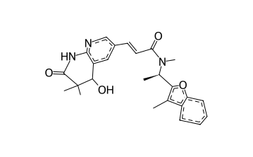 Cc1c([C@@H](C)N(C)C(=O)C=Cc2cnc3c(c2)C(O)C(C)(C)C(=O)N3)oc2ccccc12